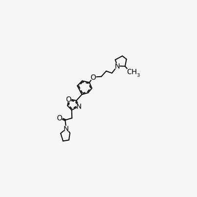 CC1CCCN1CCCOc1ccc(-c2nc(CC(=O)N3CCCC3)co2)cc1